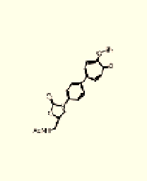 CC(=O)NCC1CN(c2ccc(-c3ccc(OC(C)C)c(=O)cc3)cc2)C(=O)O1